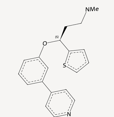 CNCC[C@H](Oc1cccc(-c2ccncc2)c1)c1cccs1